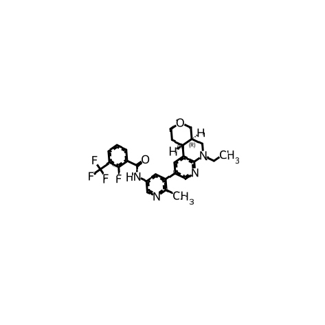 CCN1C[C@@H]2COCC[C@H]2c2cc(-c3cc(NC(=O)c4cccc(C(F)(F)F)c4F)cnc3C)cnc21